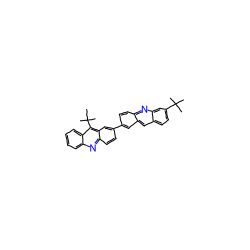 CC(C)(C)c1ccc2cc3cc(-c4ccc5nc6ccccc6c(C(C)(C)C)c5c4)ccc3nc2c1